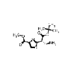 COC(=O)c1coc([C@@H](CN)C(=O)OC(C)(C)C)n1